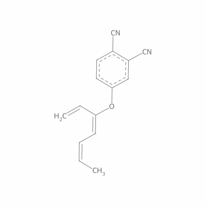 C=C/C(=C\C=C/C)Oc1ccc(C#N)c(C#N)c1